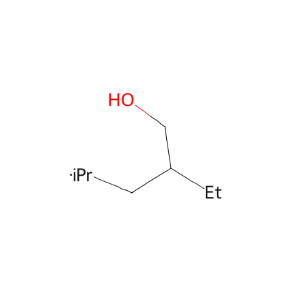 CCC(CO)C[C](C)C